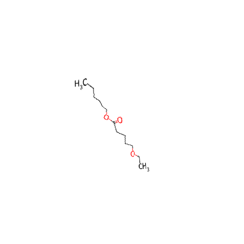 CCCCCCOC(=O)CCCCOCC